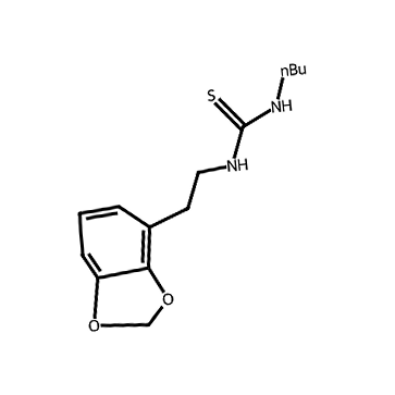 CCCCNC(=S)NCCc1cccc2c1OCO2